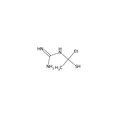 CCC(C)(S)NC(=N)N